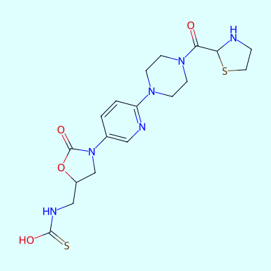 O=C(C1NCCS1)N1CCN(c2ccc(N3CC(CNC(O)=S)OC3=O)cn2)CC1